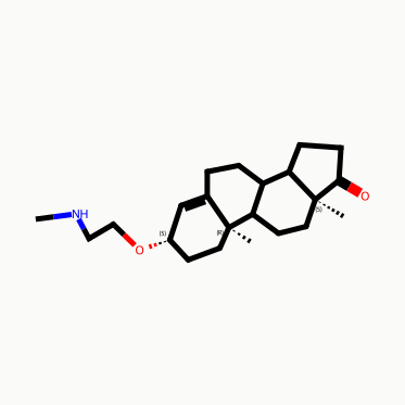 CNCCO[C@@H]1C=C2CCC3C(CC[C@]4(C)C(=O)CCC34)[C@@]2(C)CC1